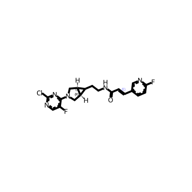 O=C(/C=C/c1ccc(F)nc1)NCCC1[C@H]2CN(c3nc(Cl)ncc3F)C[C@@H]12